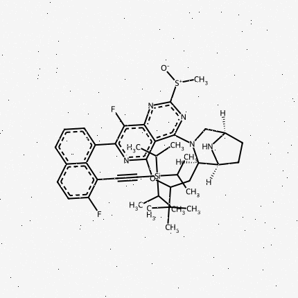 CC(C)[Si](C#Cc1c(F)ccc2cccc(-c3nc4c5c(nc([S+](C)[O-])nc5c3F)N3C[C@H]5CC[C@H](N5)[C@H]3CC(C(C)(C)C)O4)c12)(C(C)C)C(C)C